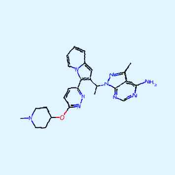 Cc1nn(C(C)c2cc3ccccn3c2-c2ccc(OC3CCN(C)CC3)nn2)c2ncnc(N)c12